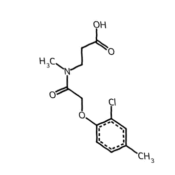 Cc1ccc(OCC(=O)N(C)CCC(=O)O)c(Cl)c1